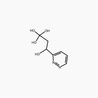 OC(CC(O)(O)O)c1cccnn1